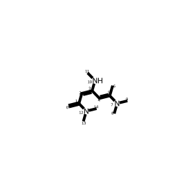 C=C(/C=C(\C=C(/C)N(C)C)NC)N(C)C